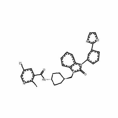 Cc1ncc(Cl)cc1C(=O)N[C@H]1CC[C@H](Cn2c(=O)n(-c3cccc(-c4ncco4)c3)c3ccccc32)CC1